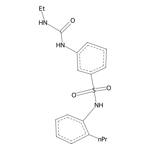 CCCc1ccccc1NS(=O)(=O)c1cccc(NC(=O)NCC)c1